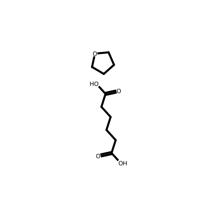 C1CCOC1.O=C(O)CCCCC(=O)O